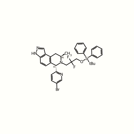 C[C@@H]1Cc2c(ccc3[nH]ncc23)[C@@H](c2ccc(Br)cn2)N1CC(F)(F)CO[Si](c1ccccc1)(c1ccccc1)C(C)(C)C